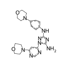 Nc1nc(Nc2ccc(N3CCOCC3)cc2)nn1-c1cc(N2CCOCC2)ncn1